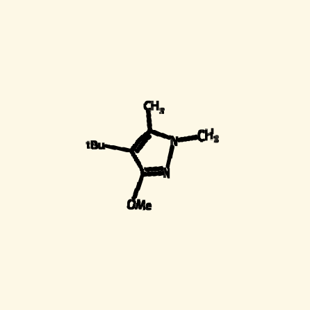 COc1nn(C)c(C)c1C(C)(C)C